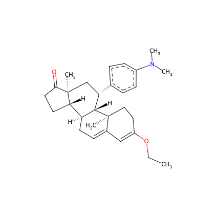 CCOC1=CC2=CC[C@@H]3[C@H]([C@@H](c4ccc(N(C)C)cc4)C[C@]4(C)C(=O)CC[C@@H]34)[C@@]2(C)CC1